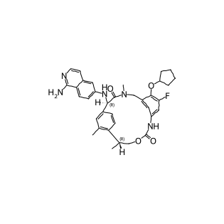 Cc1cc2ccc1[C@@H](C)COC(=O)Nc1cc(F)c(OC3CCCC3)c(c1)CN(C)C(=O)[C@@H]2Nc1ccc2c(N)nccc2c1